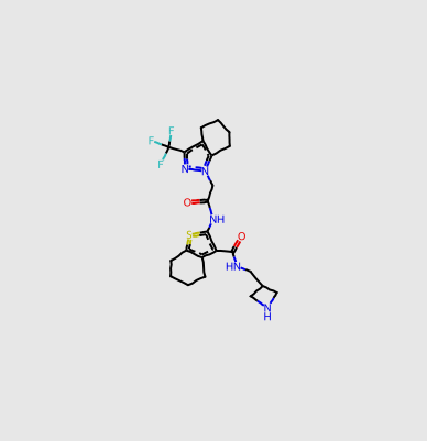 O=C(Cn1nc(C(F)(F)F)c2c1CCCC2)Nc1sc2c(c1C(=O)NCC1CNC1)CCCC2